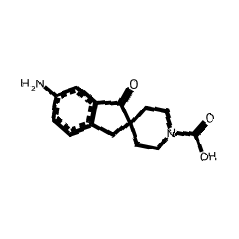 Nc1ccc2c(c1)C(=O)C1(CCN(C(=O)O)CC1)C2